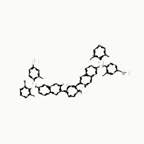 Cc1cc(C(C)C)ccc1N(c1ccc2cc3c(cc2c1)oc1c3ccc2oc3cc4cc(N(c5ccc(C(C)C)cc5C)c5c(C)cccc5C)ccc4cc3c21)c1c(C)cccc1C